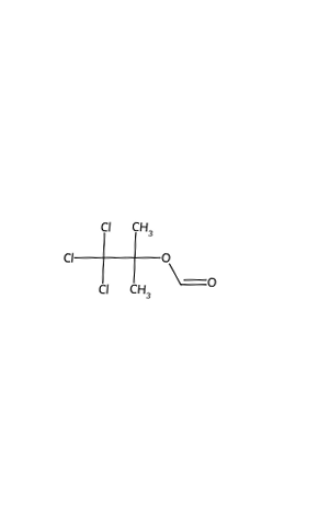 CC(C)(OC=O)C(Cl)(Cl)Cl